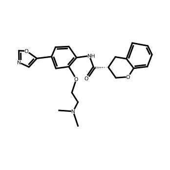 CN(C)CCOc1cc(-c2cnco2)ccc1NC(=O)[C@H]1COc2ccccc2C1